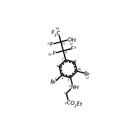 CCOC(=O)CNc1c(Br)cc(C(F)(F)C(O)(F)C(F)(F)F)cc1Br